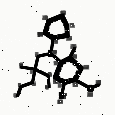 CCCC(C)(CC)CN(c1ccccc1)c1cc(Br)c(OC)cc1C